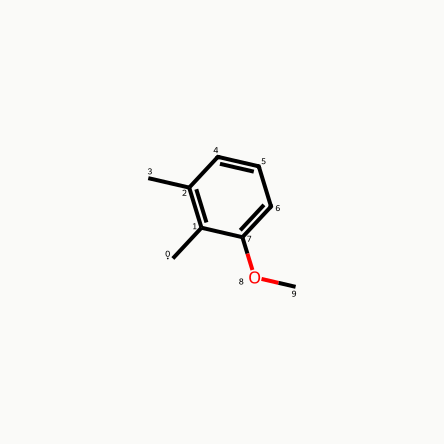 [CH2]c1c(C)cccc1OC